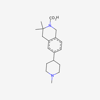 CN1CCC(c2ccc3c(c2)CC(C)(C)N(C(=O)O)C3)CC1